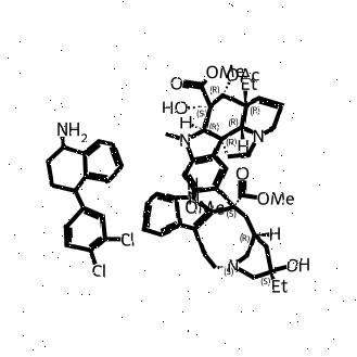 CC[C@]1(O)C[C@@H]2C[N@@](CCc3c([nH]c4ccccc34)[C@@](C(=O)OC)(c3cc4c(cc3OC)N(C)[C@H]3[C@@](O)(C(=O)OC)[C@H](OC(C)=O)[C@]5(CC)C=CCN6CC[C@]43[C@@H]65)C2)C1.NC1CCC(c2ccc(Cl)c(Cl)c2)c2ccccc21